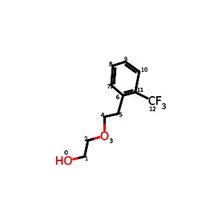 OCCOCCc1[c]cccc1C(F)(F)F